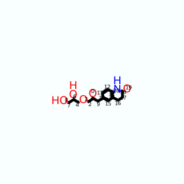 O=C(COC[C@@H](O)CO)Cc1ccc2c(c1)CCC(=O)N2